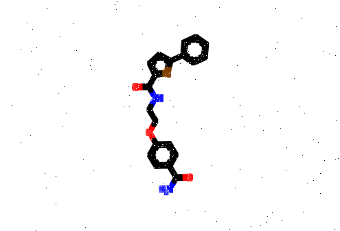 NC(=O)c1ccc(OCCNC(=O)c2ccc(-c3ccccc3)s2)cc1